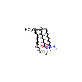 CCCCCCCCCCCCCCCCCC(N)=O.CCCCCCCCCCCCCCCCCC(N)=O.O=C(O)CCCC#CC#CCCCC(=O)O